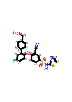 N#Cc1cc(S(=O)(=O)Nc2nccs2)ccc1Oc1ccc(F)cc1-c1ccc(CO)cc1